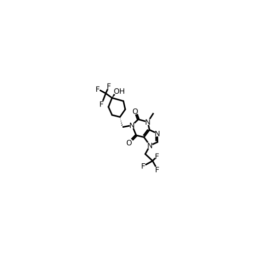 Cn1c(=O)n(C[C@H]2CC[C@@](O)(C(F)(F)F)CC2)c(=O)c2c1ncn2CC(F)(F)F